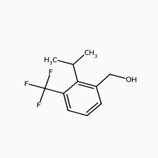 CC(C)c1c(CO)cccc1C(F)(F)F